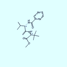 C=C(N[C@H](C(=O)OC)C(C)(C)C)[C@@H](NC(=O)c1cnccn1)C(C)C